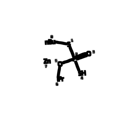 CCCCSP(=O)(S)OC(C)C.[Zn]